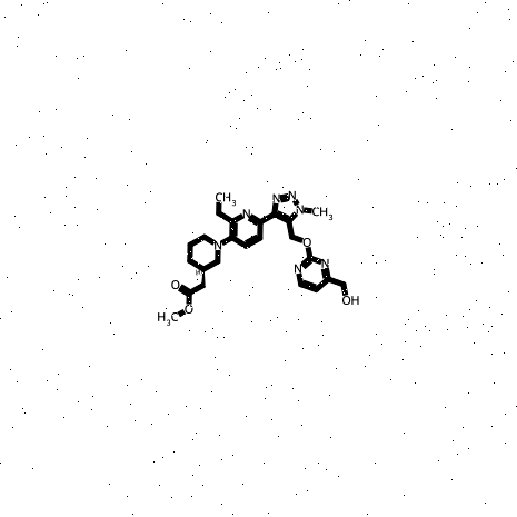 CCc1nc(-c2nnn(C)c2COc2nccc(CO)n2)ccc1N1CCC[C@H](CC(=O)OC)C1